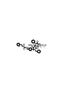 CC(=O)[C@@](C(=O)O)(N1C(=O)N(Cc2ccccc2)[C@](C)(c2ccc(CNC(=O)NCCc3ccccc3)cc2)C1=O)N(C(=O)[C@@H](N)CC(=O)O)c1ccccc1